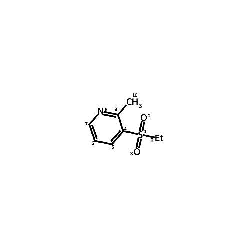 CCS(=O)(=O)c1cccnc1C